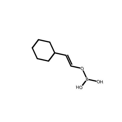 OB(O)OC=CC1CCCCC1